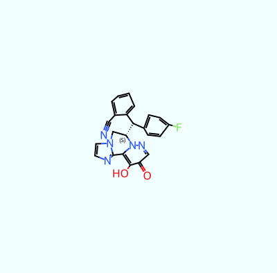 N#Cc1ccccc1C(c1ccc(F)cc1)[C@H]1Cn2ccnc2-c2c(O)c(=O)cnn21